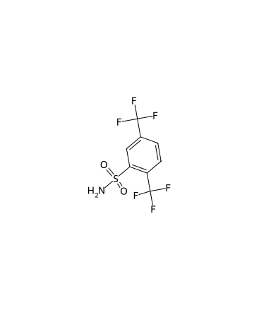 NS(=O)(=O)c1cc(C(F)(F)F)ccc1C(F)(F)F